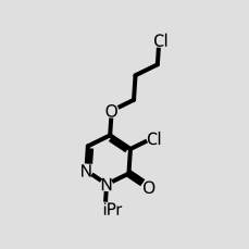 CC(C)n1ncc(OCCCCl)c(Cl)c1=O